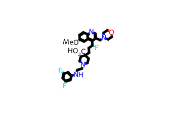 COc1ccc2ncc(CN3CCOCC3)c([C@@H](F)CCC3(C(=O)O)CCN(CCNc4cc(F)cc(F)c4)CC3)c2c1